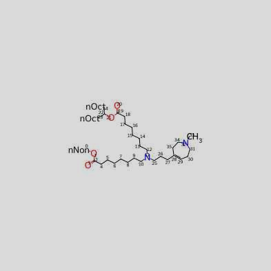 CCCCCCCCCOC(=O)CCCCCCCN(CCCCCCCC(=O)OC(CCCCCCCC)CCCCCCCC)CCCC1=CCCN(C)CC1